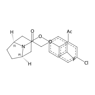 CC(=O)c1cc(Cl)ccc1OCC(=O)N1[C@@H]2CC[C@H]1CC(Oc1ccc(F)cc1)C2